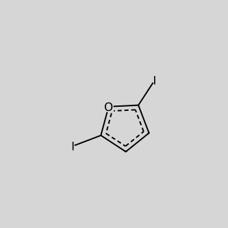 Ic1ccc(I)o1